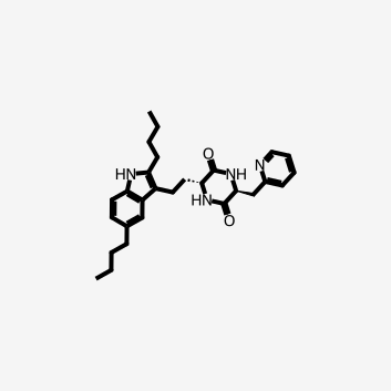 CCCCc1ccc2[nH]c(CCCC)c(CC[C@H]3NC(=O)[C@H](Cc4ccccn4)NC3=O)c2c1